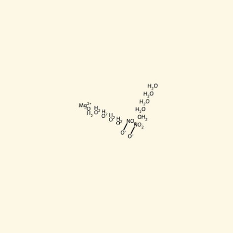 O.O.O.O.O.O.O.O.O.O.O=[N+]([O-])[O-].O=[N+]([O-])[O-].[Mg+2]